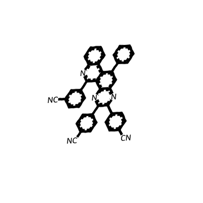 N#Cc1ccc(-c2nc3cc(-c4ccccc4)c4c5ccccc5nc(-c5cccc(C#N)c5)c4c3nc2-c2ccc(C#N)cc2)cc1